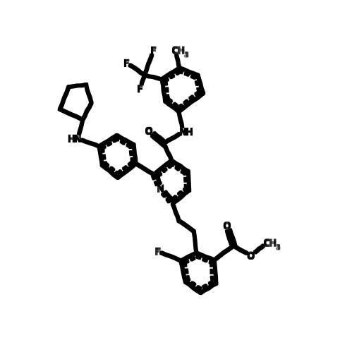 COC(=O)c1cccc(F)c1CCc1ccc(C(=O)Nc2ccc(C)c(C(F)(F)F)c2)c(-c2ccc(NC3CCCC3)cc2)n1